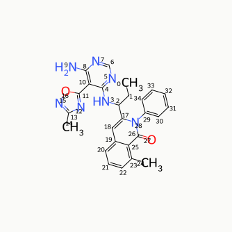 CCC(Nc1ncnc(N)c1-c1nc(C)no1)c1cc2cccc(C)c2c(=O)n1-c1ccccc1